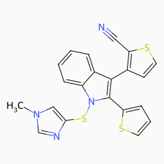 Cn1cnc(Sn2c(-c3cccs3)c(-c3ccsc3C#N)c3ccccc32)c1